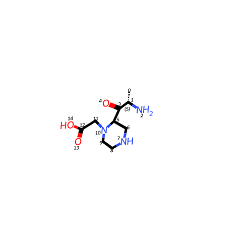 C[C@H](N)C(=O)C1CNCCN1CC(=O)O